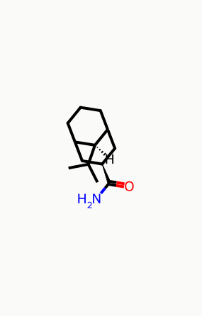 CC(C)[C@H]1C2CCCC1C[C@@H](C(N)=O)C2